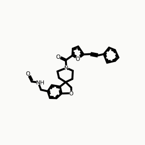 O=CNCc1ccc2c(c1)C1(CCN(C(=O)c3ccc(C#Cc4ccccc4)o3)CC1)CO2